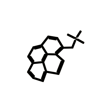 CS(C)(C)Cc1ccc2ccc3cccc4ccc1c2c34